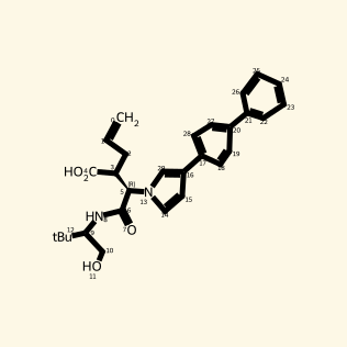 C=CCC(C(=O)O)[C@H](C(=O)NC(CO)C(C)(C)C)n1ccc(-c2ccc(-c3ccccc3)cc2)c1